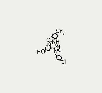 Cc1nnc([C@H]2C[C@H](O)CN2C(=O)Nc2ccc(C(F)(F)F)cc2)n1Cc1ccc(Cl)cc1